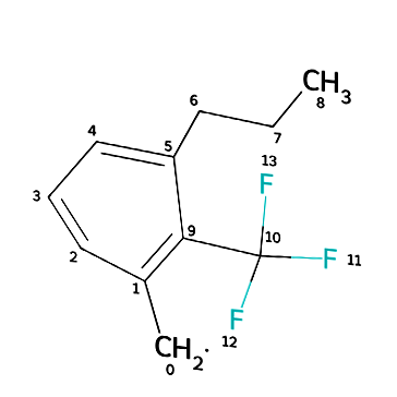 [CH2]c1cccc(CCC)c1C(F)(F)F